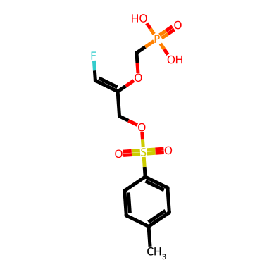 Cc1ccc(S(=O)(=O)OCC(=CF)OCP(=O)(O)O)cc1